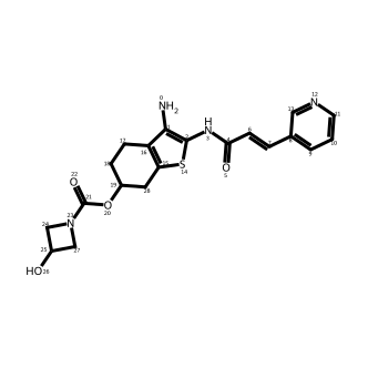 Nc1c(NC(=O)/C=C/c2cccnc2)sc2c1CCC(OC(=O)N1CC(O)C1)C2